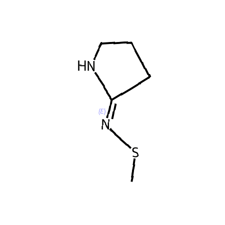 CS/N=C1\CCCN1